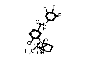 CC[C@@]1(O)CC2CCC1[C@@H]2S(=O)(=O)c1cc(C(=O)Nc2cc(F)c(F)c(F)c2)ccc1Cl